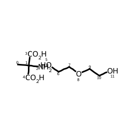 CC(N)(C(=O)O)C(=O)O.OCCOCCO